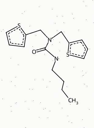 CCCC[N]C(=O)N(Cc1cccs1)Cc1cccs1